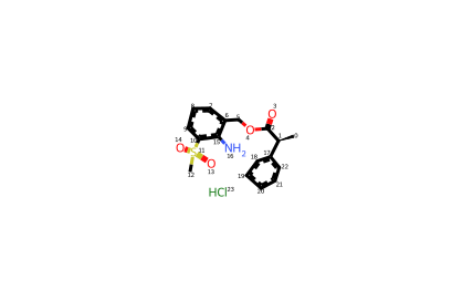 C[C@H](C(=O)OCc1cccc(S(C)(=O)=O)c1N)c1ccccc1.Cl